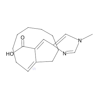 Cn1cnc(C=C(C(=O)O)/C2=C\CCCCCCCC2)c1